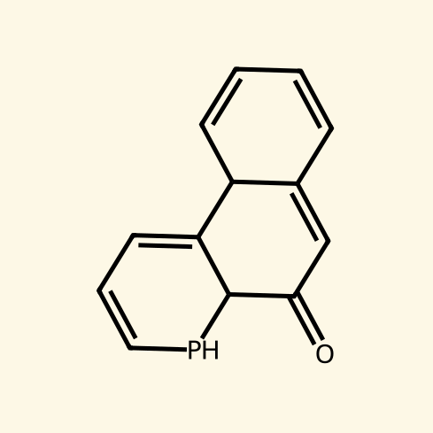 O=C1C=C2C=CC=CC2C2=CC=CPC12